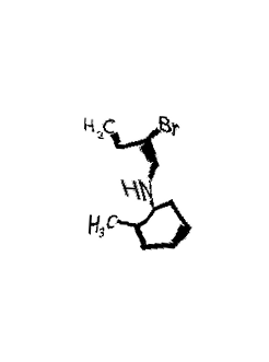 C=C/C(Br)=C\N[C@H]1CC=CCC1C